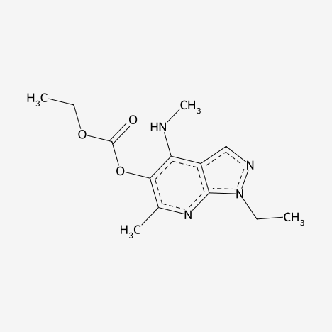 CCOC(=O)Oc1c(C)nc2c(cnn2CC)c1NC